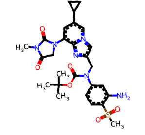 CN1C(=O)CN(c2cc(C3CC3)cn3cc(CN(C(=O)OC(C)(C)C)c4ccc(S(C)(=O)=O)c(N)c4)nc23)C1=O